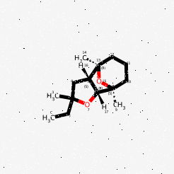 CCC1(C)C[C@H]2[C@@H](O1)[C@]1(C)CCC[C@@]2(C)O1